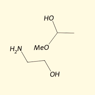 COC(C)O.NCCO